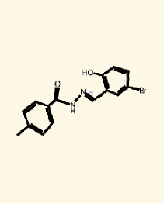 Cc1ccc(C(=O)N/N=C/c2cc(Br)ccc2O)cc1